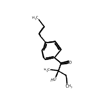 CCCc1ccc(C(=O)C(C)(O)CC)cc1